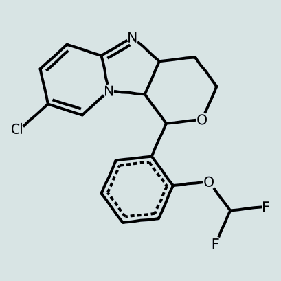 FC(F)Oc1ccccc1C1OCCC2N=C3C=CC(Cl)=CN3C21